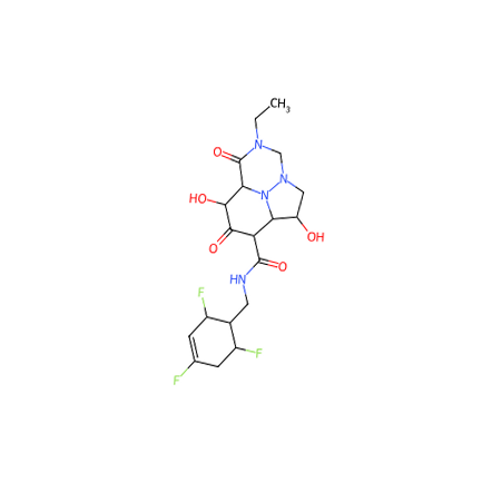 CCN1CN2CC(O)C3C(C(=O)NCC4C(F)C=C(F)CC4F)C(=O)C(O)C(C1=O)N32